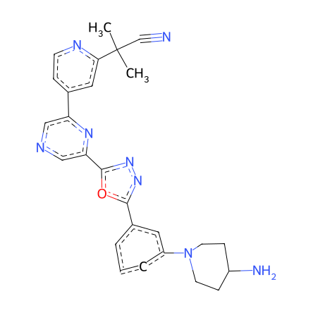 CC(C)(C#N)c1cc(-c2cncc(-c3nnc(-c4cccc(N5CCC(N)CC5)c4)o3)n2)ccn1